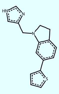 c1csc(-c2ccc3c(c2)N(Cc2c[nH]cn2)CC3)c1